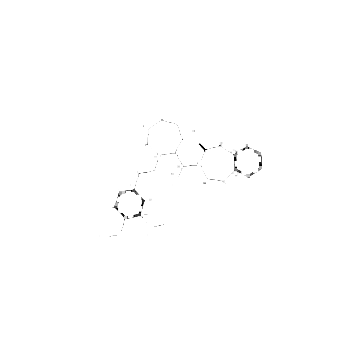 COc1ccc(CCN2CCCCCC2C(C)N2CCc3ccccc3CC2=O)cc1OC